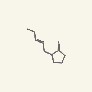 CCC=CCC1CCCC1=O